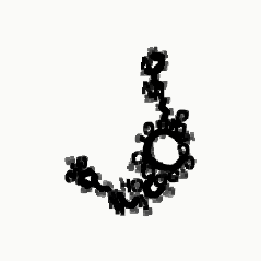 CO[C@]1(C)C[C@@H](C)C(=O)[C@H](C)[C@H]2N(CCCCn3cnc(-c4cccnc4)c3)C(=O)O[C@]2(C)[C@@H](I)OC(=O)[C@H](C)C(=O)[C@H](C)[C@H]1O[C@@H]1O[C@H](C)C[C@H](N(C)CCc2cn(CCc3ccc(S(C)(=O)=O)cc3)nn2)[C@H]1O